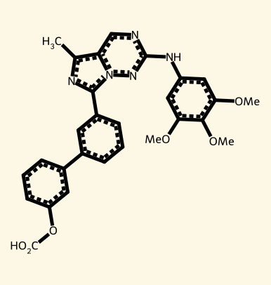 COc1cc(Nc2ncc3c(C)nc(-c4cccc(-c5cccc(OC(=O)O)c5)c4)n3n2)cc(OC)c1OC